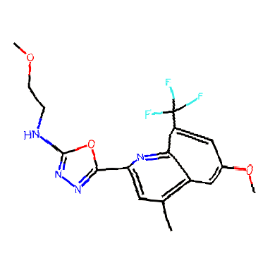 COCCNc1nnc(-c2cc(C)c3cc(OC)cc(C(F)(F)F)c3n2)o1